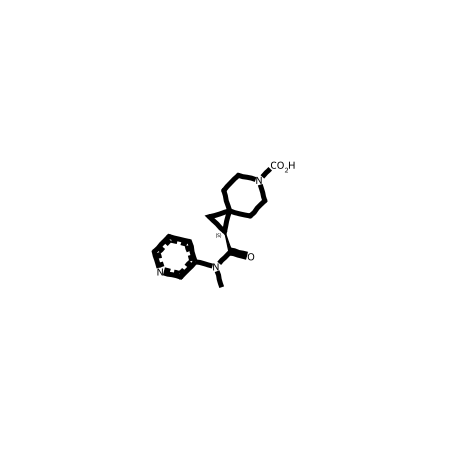 CN(C(=O)[C@H]1CC12CCN(C(=O)O)CC2)c1cccnc1